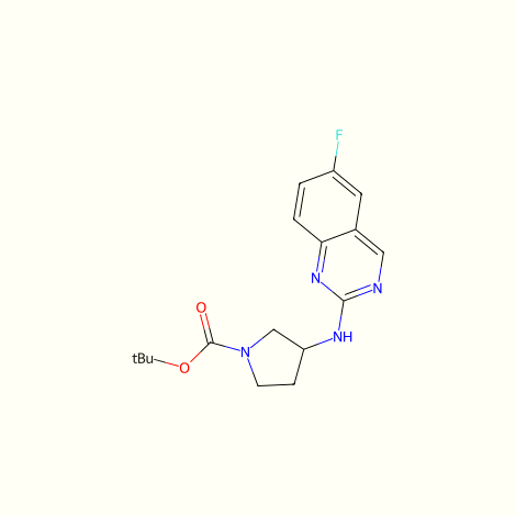 CC(C)(C)OC(=O)N1CCC(Nc2ncc3cc(F)ccc3n2)C1